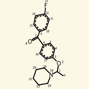 CC(Oc1ccc(C(=O)c2ccc(F)cc2)cc1)N1CCCCC1